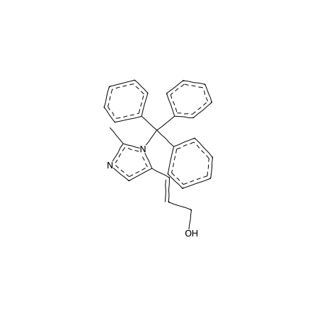 Cc1ncc(C=CCO)n1C(c1ccccc1)(c1ccccc1)c1ccccc1